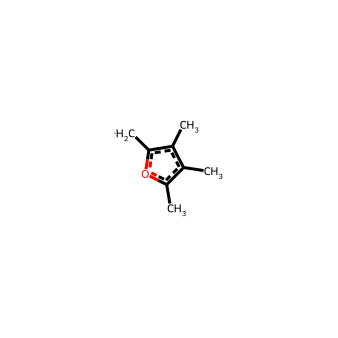 [CH2]c1oc(C)c(C)c1C